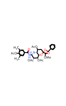 COC(=O)[C@@]1(OCc2ccccc2)CC(OC(C)=O)[C@@H](N)[C@H]([C@H](OC(C)=O)[C@@H](CNC(=O)c2cc(C)c(OC(C)=O)c(C)c2)OC(C)=O)O1